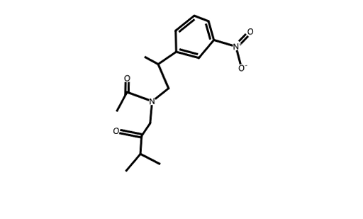 CC(=O)N(CC(=O)C(C)C)CC(C)c1cccc([N+](=O)[O-])c1